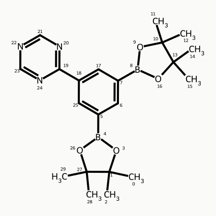 CC1(C)OB(c2cc(B3OC(C)(C)C(C)(C)O3)cc(-c3ncncn3)c2)OC1(C)C